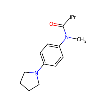 CC(C)C(=O)N(C)c1ccc(N2CCCC2)cc1